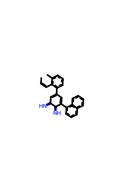 C/C=C\c1c(C)cccc1C1=CC(=N)C(=N)C(c2cccc3ccccc23)=C1